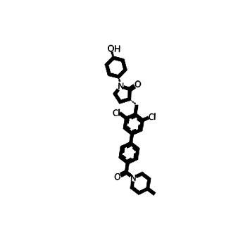 CC1CCN(C(=O)c2ccc(-c3cc(Cl)c(C[C@@H]4CCN([C@H]5CC[C@H](O)CC5)C4=O)c(Cl)c3)cc2)CC1